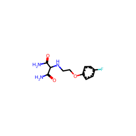 NC(=O)C(NCCOc1ccc(F)cc1)C(N)=O